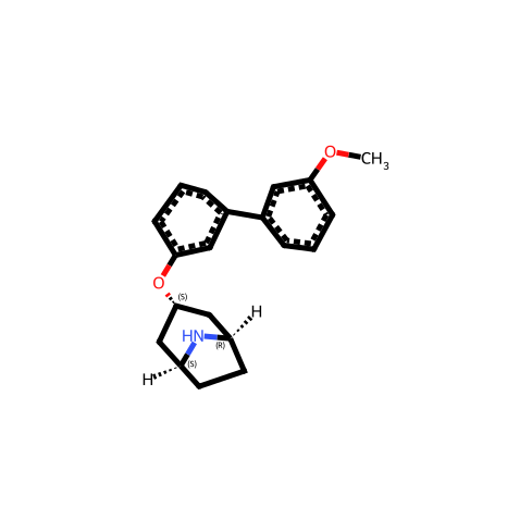 COc1cccc(-c2cccc(O[C@@H]3C[C@H]4CC[C@@H](C3)N4)c2)c1